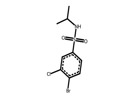 CC(C)NS(=O)(=O)c1ccc(Br)c(Cl)c1